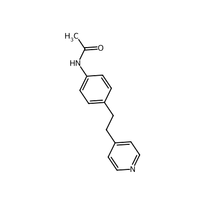 CC(=O)Nc1ccc(CCc2ccncc2)cc1